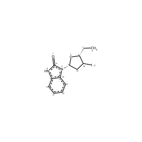 CC[C@H]1O[C@@H](n2c(=O)[nH]c3ccccc32)CC1I